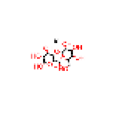 OC[C@H]1O[C@@H](O[C@H]2[C@H](O)[C@@H](O)C(O)O[C@@H]2CO)[C@H](O)[C@@H](O)[C@H]1O.[K]